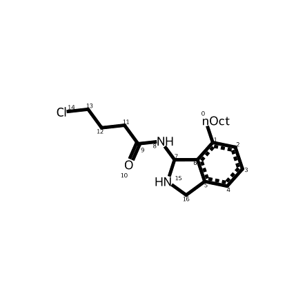 CCCCCCCCc1cccc2c1C(NC(=O)CCCCl)NC2